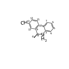 C[C@H]([SiH2]c1ccccc1)c1cccc(Cl)c1